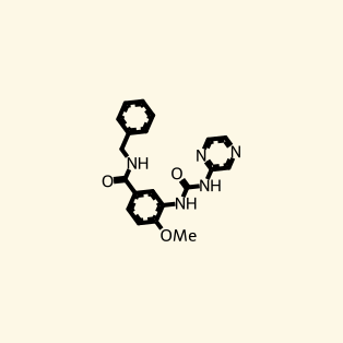 COc1ccc(C(=O)NCc2ccccc2)cc1NC(=O)Nc1cnccn1